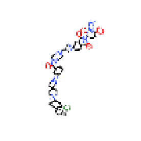 N#Cc1ccc(N2CCC3(CC2)CCN(c2cccc(C(=O)N4CCN(CC5CN(c6ccc7c(c6)C(=O)N(C6CCC(=O)NC6=O)C7=O)C5)CC4)c2)C3)cc1Cl